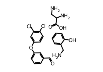 NCC(N)C(=O)O.NCc1ccccc1O.O=Cc1cccc(Oc2ccc(Cl)c(Cl)c2)c1